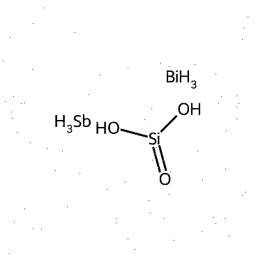 O=[Si](O)O.[BiH3].[SbH3]